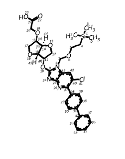 C[Si](C)(C)CCOCn1c(O[C@@H]2CO[C@H]3[C@H]2OC[C@H]3OCC(=O)O)nc2nc(-c3ccc(-c4ccccc4)cc3)c(Cl)cc21